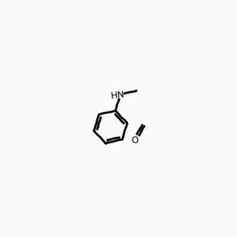 C=O.CNc1ccccc1